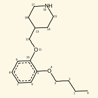 CCCCOc1ccccc1OCC1CCNCC1